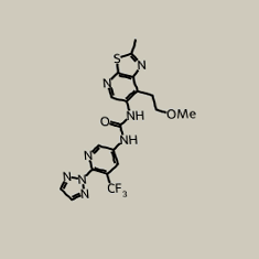 COCCc1c(NC(=O)Nc2cnc(-n3nccn3)c(C(F)(F)F)c2)cnc2sc(C)nc12